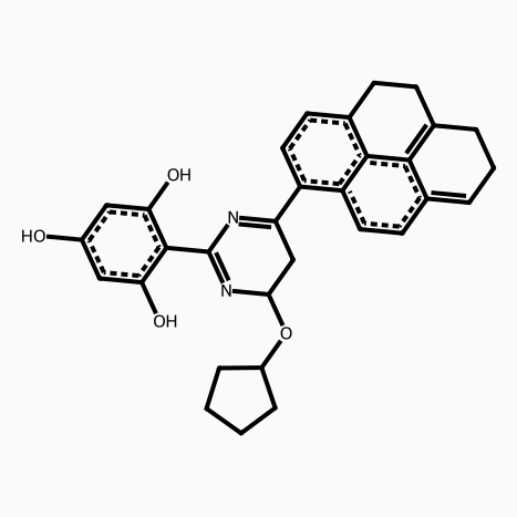 Oc1cc(O)c(C2=NC(OC3CCCC3)CC(c3ccc4c5c6c(ccc35)=CCCC=6CC4)=N2)c(O)c1